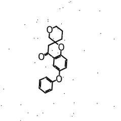 O=C1CC2(CCCOC2)Oc2ccc(Oc3ccccc3)cc21